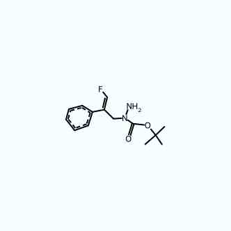 CC(C)(C)OC(=O)N(N)C/C(=C/F)c1ccccc1